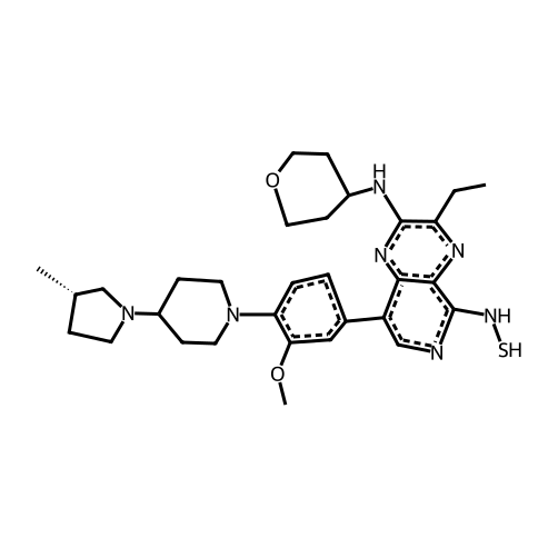 CCc1nc2c(NS)ncc(-c3ccc(N4CCC(N5CC[C@H](C)C5)CC4)c(OC)c3)c2nc1NC1CCOCC1